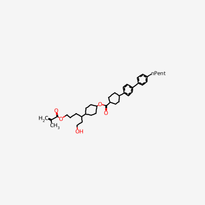 C=C(C)C(=O)OCCCC(CCO)C1CCC(OC(=O)C2CCC(c3ccc(-c4ccc(CCCCC)cc4)cc3)CC2)CC1